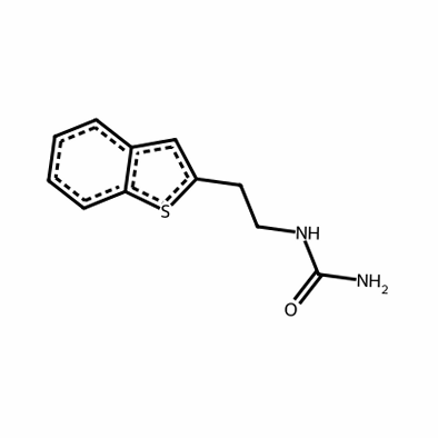 NC(=O)NCCc1cc2ccccc2s1